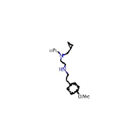 CCCN(CCNCCc1ccc(OC)cc1)CC1CC1